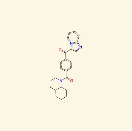 O=C(c1ccc(C(=O)N2CCCC3CCCCC32)cc1)c1cnc2ccccn12